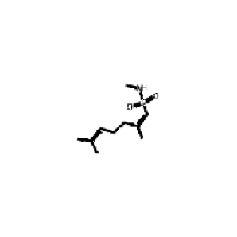 CNS(=O)(=O)C=C(C)CCC=C(C)C